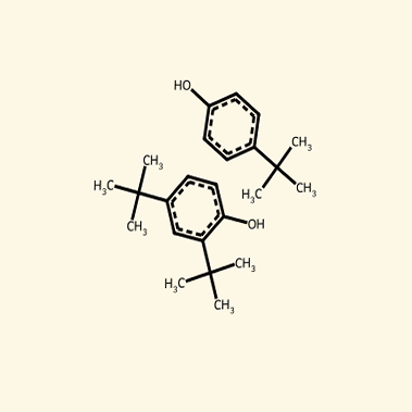 CC(C)(C)c1ccc(O)c(C(C)(C)C)c1.CC(C)(C)c1ccc(O)cc1